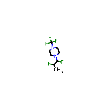 CC(F)C(F)N1CCN(C(F)(F)F)CC1